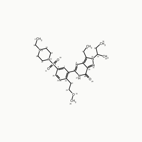 CCc1c2nc(-c3cc(S(=O)(=O)N4CCN(CC)CC4)cnc3CCOC)[nH]c(=O)c2nn1C(C)CC